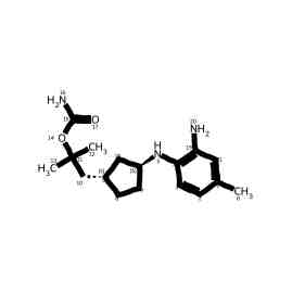 Cc1ccc(N[C@H]2CC[C@H](CC(C)(C)OC(N)=O)C2)c(N)c1